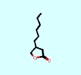 CCCCCCC1COC(=O)C1